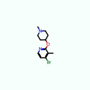 Cc1c(Br)ccnc1OC1CCN(C)CC1